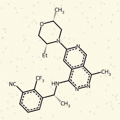 CC[C@@H]1CO[C@H](C)CN1c1cc2c(N[C@H](C)c3cccc(C#N)c3C(F)(F)F)nnc(C)c2cn1